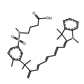 C=C(/C=C/C=C/C=C/C=C1/N(C)c2ccccc2C1(C)C)C(C)(C)c1cc(S(=O)(=O)N(C)CCCC(=O)O)ccc1C